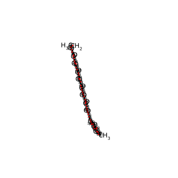 C=C(C)C(=O)OCCCCCC(=O)OCCCCCC(=O)OCCCCCC(=O)OCCCCCC(=O)OCCCCCC(=O)OCCCCCC(=O)OCCCCCC(=O)OCCCCCC(=O)OCCCCCCCCOc1ccc(C(=O)Oc2ccc(OC(=O)c3ccc(C)cc3)cc2)cc1